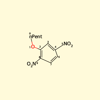 CCCCCOc1cc([N+](=O)[O-])ccc1[N+](=O)[O-]